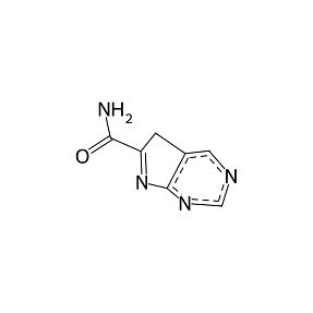 NC(=O)C1=Nc2ncncc2C1